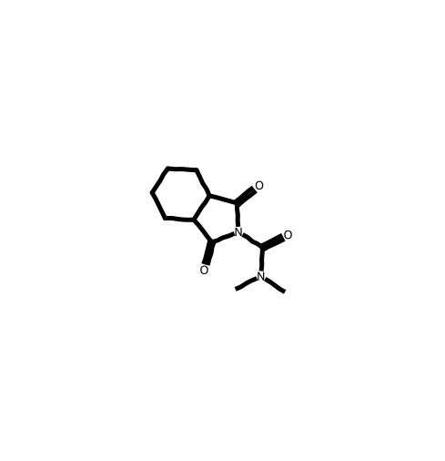 CN(C)C(=O)N1C(=O)C2CCCCC2C1=O